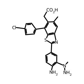 Cc1cc2nc(-c3ccc(N)c(N(C)N)c3)sc2c(-c2ccc(Cl)cc2)c1CC(=O)O